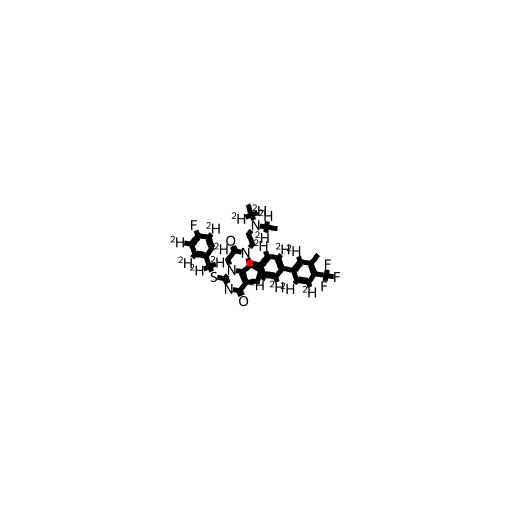 [2H]c1c([2H])c(C([2H])([2H])Sc2nc(=O)c3c(n2CC(=O)N(CCN(C([2H])([2H])C)C([2H])([2H])C)Cc2c([2H])c([2H])c(-c4c([2H])c([2H])c(C(F)(F)F)c(C)c4[2H])c([2H])c2[2H])CCC3)c([2H])c([2H])c1F